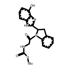 CC(C)(C)OC(=O)NCC(=O)N1c2ccccc2CC1c1nc2c(O)cccc2[nH]1